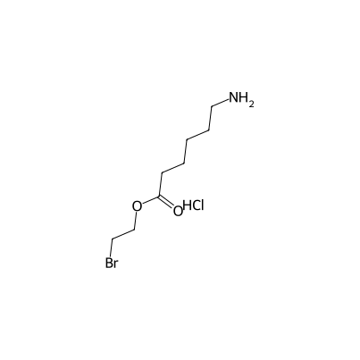 Cl.NCCCCCC(=O)OCCBr